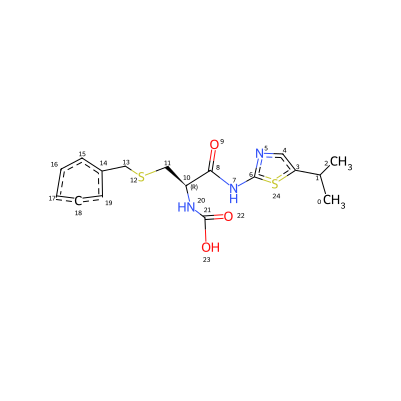 CC(C)c1cnc(NC(=O)[C@H](CSCc2ccccc2)NC(=O)O)s1